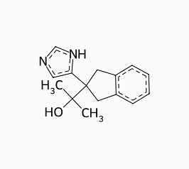 CC(C)(O)C1(c2cnc[nH]2)Cc2ccccc2C1